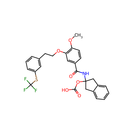 COc1ccc(C(=O)NC2(OC(=O)O)Cc3ccccc3C2)cc1OCCc1cccc(SC(F)(F)F)c1